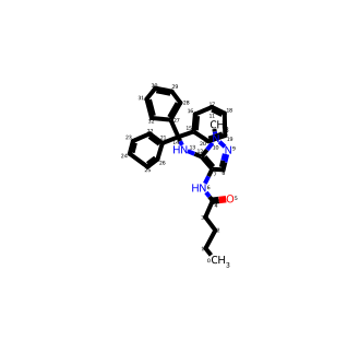 CCCCC(=O)Nc1cnn(C)c1NC(c1ccccc1)(c1ccccc1)c1ccccc1